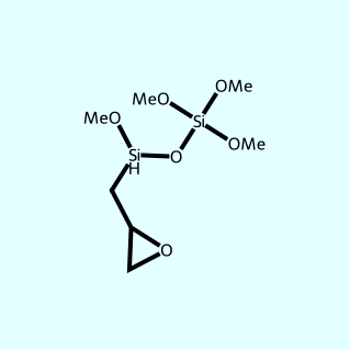 CO[SiH](CC1CO1)O[Si](OC)(OC)OC